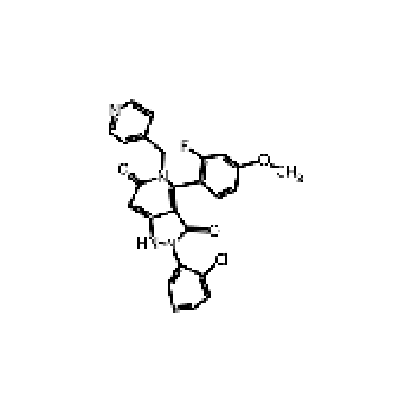 COc1ccc(-c2c3c(=O)n(-c4ccccc4Cl)[nH]c3cc(=O)n2Cc2ccncc2)c(F)c1